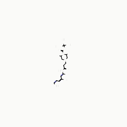 C\C=C/C=C(C)\C=C(/C)NC(=O)CCN1CC(C)N(C(=O)OC(C)(C)C)C(C)C1